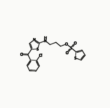 O=C(c1cnc(NCCCOS(=O)(=O)c2cccs2)s1)c1ccccc1Cl